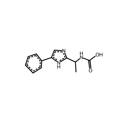 CC(NC(=O)O)c1ncc(-c2ccccc2)[nH]1